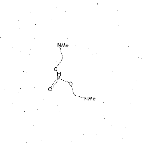 CNCO[PH](=O)OCNC